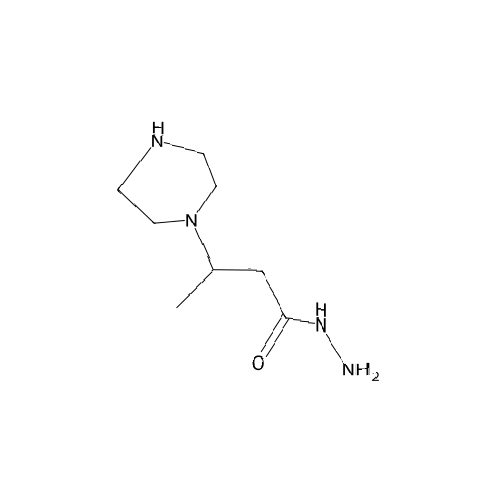 CC(CC(=O)NN)N1CCNCC1